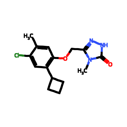 Cc1cc(OCc2n[nH]c(=O)n2C)c(C2CCC2)cc1Cl